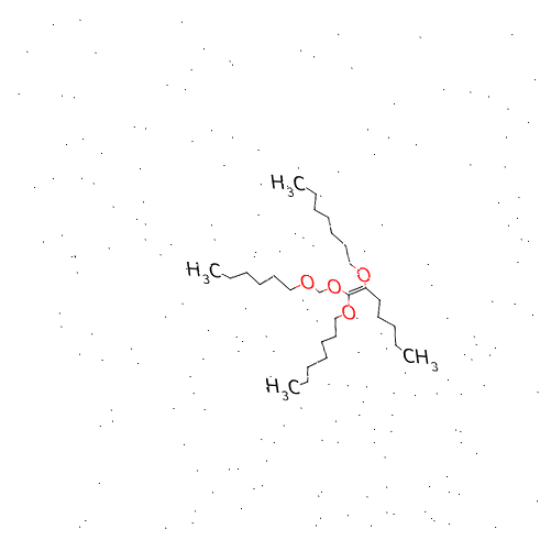 CCCCCCCOC(CCCCC)=C(OCCCCCCC)OCOCCCCCC